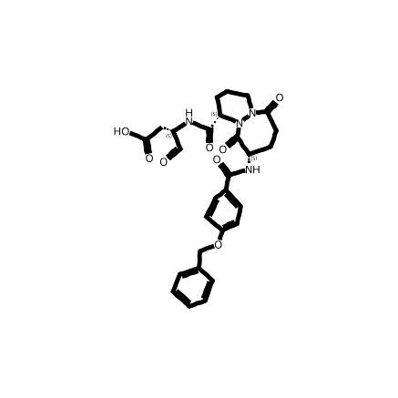 O=C[C@H](CC(=O)O)NC(=O)[C@@H]1CCCN2C(=O)CC[C@H](NC(=O)c3ccc(OCc4ccccc4)cc3)C(=O)N12